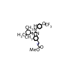 COC(=O)/C=C/c1ccc2c(c1)nc(Nc1ccc(OC(F)(F)F)cc1)n2[C@H]1C[C@@H](C)CC(C)(C)C1